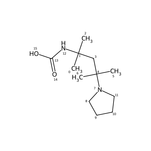 CC(C)(CC(C)(C)N1CCCC1)NC(=O)O